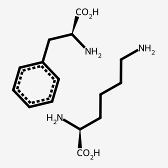 NCCCC[C@H](N)C(=O)O.N[C@@H](Cc1ccccc1)C(=O)O